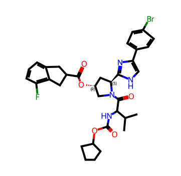 CC(C)C(NC(=O)OC1CCCC1)C(=O)N1C[C@H](OC(=O)C2Cc3cccc(F)c3C2)C[C@H]1c1nc(-c2ccc(Br)cc2)c[nH]1